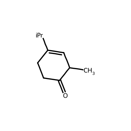 CC(C)C1=CC(C)C(=O)CC1